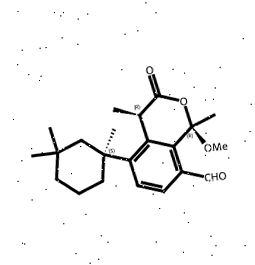 CO[C@]1(C)OC(=O)[C@H](C)c2c([C@@]3(C)CCCC(C)(C)C3)ccc(C=O)c21